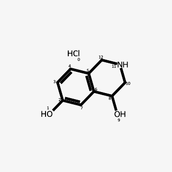 Cl.Oc1ccc2c(c1)C(O)CNC2